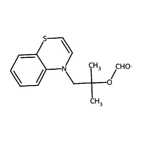 CC(C)(CN1C=CSc2ccccc21)O[C]=O